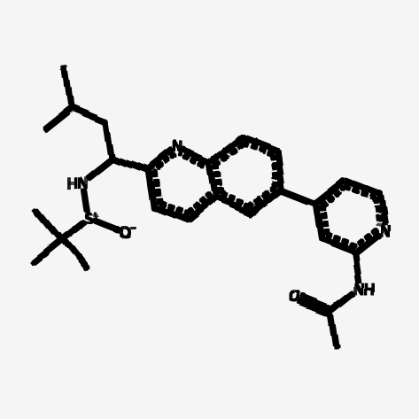 CC(=O)Nc1cc(-c2ccc3nc(C(CC(C)C)N[S+]([O-])C(C)(C)C)ccc3c2)ccn1